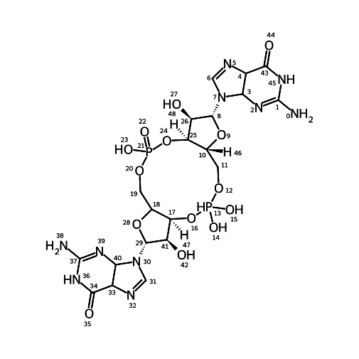 NC1=NC2C(N=CN2[C@@H]2O[C@@H]3CO[PH](O)(O)O[C@@H]4C(COP(=O)(O)O[C@H]3[C@H]2O)O[C@@H](N2C=NC3C(=O)NC(N)=NC32)[C@@H]4O)C(=O)N1